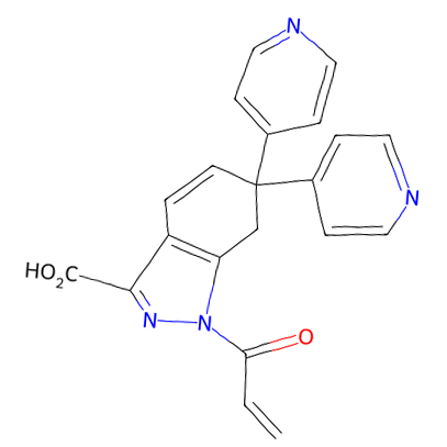 C=CC(=O)n1nc(C(=O)O)c2c1CC(c1ccncc1)(c1ccncc1)C=C2